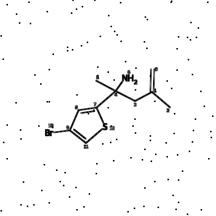 C=C(C)CC(C)(N)c1cc(Br)cs1